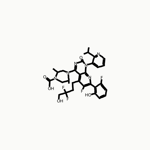 CC(C)c1ncccc1-n1c(=O)nc(N2CC(C)N(C(=O)O)CC2C)c2c(CCC(F)(F)CO)c(F)c(-c3c(O)cccc3F)nc21